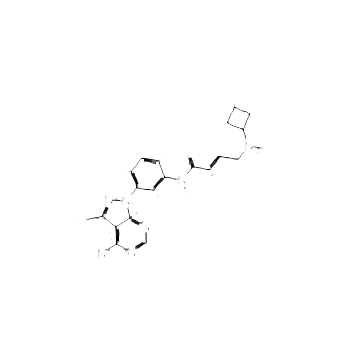 CN(C(=O)/C=C/CN(C)C1CCC1)c1cccc(-n2nc(I)c3c(N)ncnc32)c1